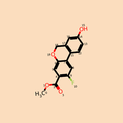 COC(=O)c1cc2c(cc1F)-c1ccc(O)cc1CO2